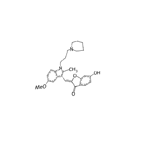 COc1ccc2c(c1)c(/C=C1\Oc3cc(O)ccc3C1=O)c(C)n2CCCN1CCCCC1